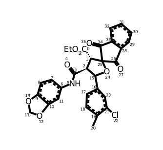 CCOC(=O)[C@H]1[C@H](C(=O)Nc2ccc3c(c2)OCO3)C(c2ccc(C)c(Cl)c2)OC12C(=O)c1ccccc1C2=O